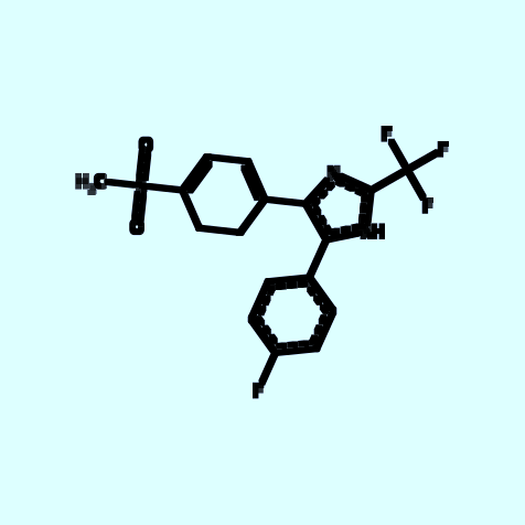 CS(=O)(=O)C1=CC=C(c2nc(C(F)(F)F)[nH]c2-c2ccc(F)cc2)CC1